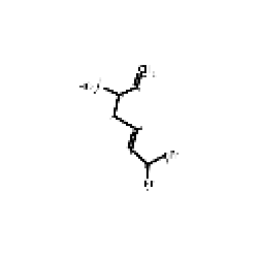 C=CC(CC=CC(CC)CCC)C(=O)O